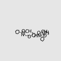 CC(=O)C(NCc1ccc(OCCc2nc(-c3ccccc3)oc2C)cc1)(C(=O)O)c1ccccc1